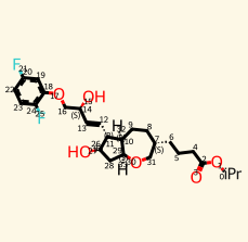 CC(C)OC(=O)CCC[C@H]1CC[C@@H]2[C@@H](C=C[C@H](O)COc3cc(F)ccc3F)[C@H](O)C[C@@H]2OC1